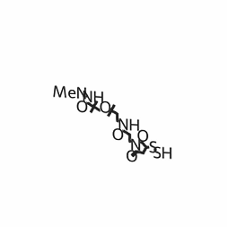 CNNC(=O)C(C)(C)COC(C)(C)CCNC(=O)CCN1C(=O)CC(SS)C1=O